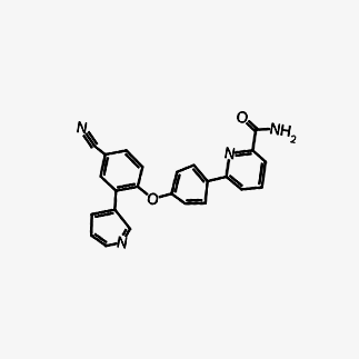 N#Cc1ccc(Oc2ccc(-c3cccc(C(N)=O)n3)cc2)c(-c2cccnc2)c1